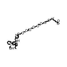 CCc1cnn2c(NCc3ccc(OCCOCCOCCOCCOCCOCCOCCOCCOCCN(C)C/C=C/C(=O)OC)nc3)cc(N3CCCC[C@H]3CCO)nc12